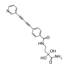 NC(=O)C(O)(O)CCNC(=O)c1ccc(C#CC#Cc2cccnc2)cc1